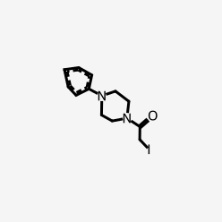 O=C(CI)N1CCN(c2ccccc2)CC1